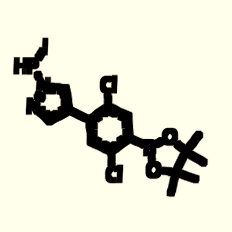 CC1(C)OB(c2cc(Cl)c(-c3cnn(PI)c3)cc2Cl)OC1(C)C